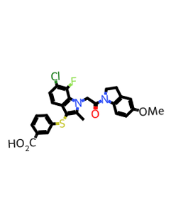 COc1ccc2c(c1)CCN2C(=O)Cn1c(C)c(Sc2cccc(C(=O)O)c2)c2ccc(Cl)c(F)c21